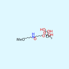 COCCCCCCNC(=O)CCCCCO[C@@H]1OC(CO)[C@H](O)[C@H](O)C1C